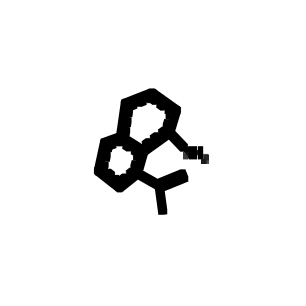 C=C(C)c1cccc2cccc(N)c12